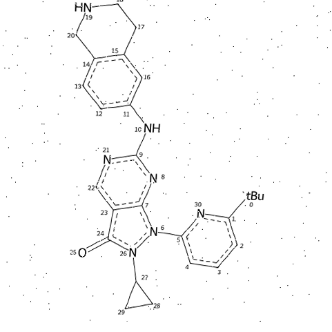 CC(C)(C)c1cccc(-n2c3nc(Nc4ccc5c(c4)CCNC5)ncc3c(=O)n2C2CC2)n1